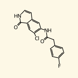 O=C(Cc1ccc(F)cc1)Nc1cc2cc[nH]c(=O)c2cc1Cl